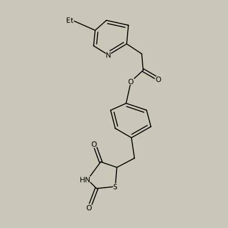 CCc1ccc(CC(=O)Oc2ccc(CC3SC(=O)NC3=O)cc2)nc1